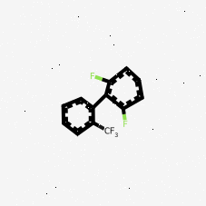 Fc1cccc(F)c1-c1ccc[c]c1C(F)(F)F